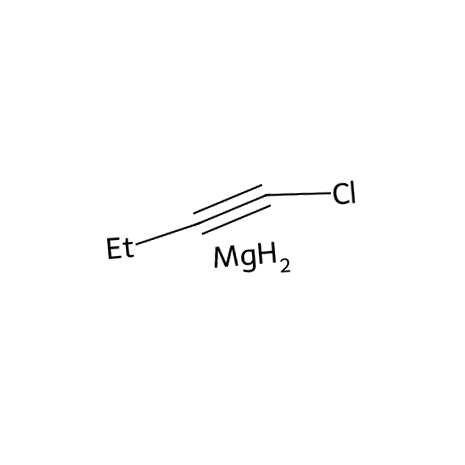 CCC#CCl.[MgH2]